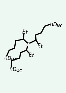 CCCCCCCCCCCCCC(CC)P(C(CC)CCCCCCCCCCCCC)C(CC)CCCCCCCCCCCCC